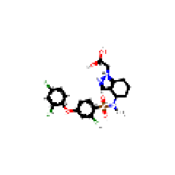 CN([C@@H]1CCCc2c1cnn2CC(=O)O)S(=O)(=O)c1ccc(Oc2ccc(F)cc2Cl)cc1Cl